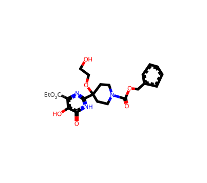 CCOC(=O)c1nc(C2(OCCO)CCN(C(=O)OCc3ccccc3)CC2)[nH]c(=O)c1O